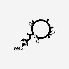 CSc1nc(/C=C(\C)C2CC3OC3(C)CCCC(C)CC(C)C(=O)C(C)(C)CCC(=O)O2)cs1